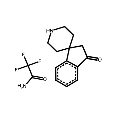 NC(=O)C(F)(F)F.O=C1CC2(CCNCC2)c2ccccc21